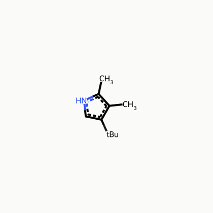 Cc1[nH]cc(C(C)(C)C)c1C